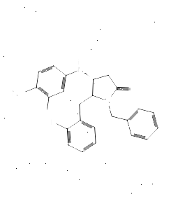 N#Cc1ccc(N[C@H]2CC(=O)N(Cc3ccccc3)C2Cc2ccccc2F)cc1Cl